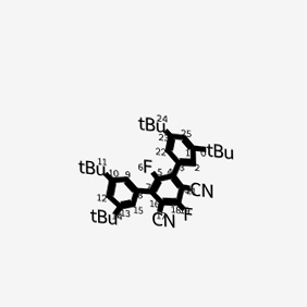 CC(C)(C)c1cc(-c2c(F)c(-c3cc(C(C)(C)C)cc(C(C)(C)C)c3)c(C#N)c(F)c2C#N)cc(C(C)(C)C)c1